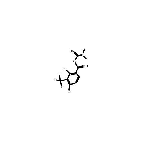 CN(C)C(=N)OC(=N)c1ccc(Cl)c(C(F)(F)F)c1Cl